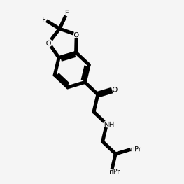 CCCC(CCC)CNCC(=O)c1ccc2c(c1)OC(F)(F)O2